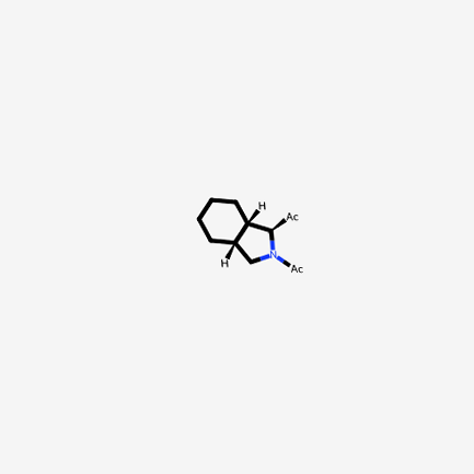 CC(=O)[C@@H]1[C@H]2CCCC[C@H]2CN1C(C)=O